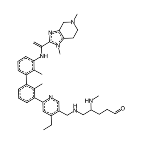 C=C(Nc1cccc(-c2cccc(-c3cc(CC)c(CNCC(CCC=O)NC)cn3)c2C)c1C)c1nc2c(n1C)CCN(C)C2